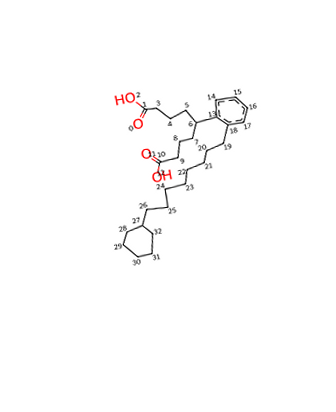 O=C(O)CCCC(CCCC(=O)O)c1ccccc1CCCCCCCCC1CCCCC1